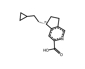 O=C(O)c1cc2c(cn1)CC[C@H]2CCC1CC1